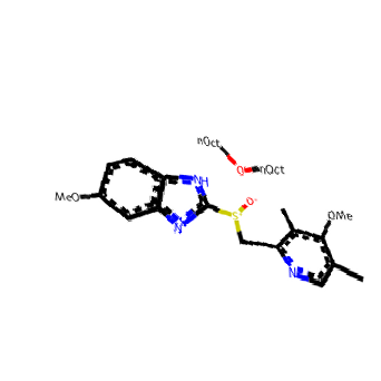 CCCCCCCCOCCCCCCCC.COc1ccc2[nH]c([S+]([O-])Cc3ncc(C)c(OC)c3C)nc2c1